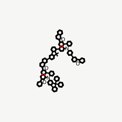 CC1(C)c2ccc(-c3ccc4ccc5c6cccc(-c7ccccc7N(c7ccc8c(c7)C(c7ccccc7)(c7ccccc7)c7ccccc7-8)c7cccc8c7oc7ccccc78)c6oc5c4c3)cc2-c2cccc(-c3ccc(N(c4ccc(-c5ccc6oc7ccccc7c6c5)cc4)c4ccccc4-c4cccc5c4oc4c6ccccc6ccc54)cc3)c21